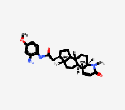 COc1ccc(NC(=O)C[C@H]2CC[C@H]3[C@@H]4CC[C@H]5N(C)C(=O)C=C[C@]5(C)[C@H]4CC[C@]23C)c(N)c1